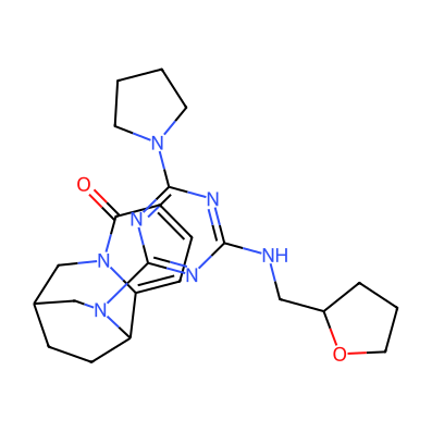 O=c1cccc2n1CC1CCC2N(c2nc(NCC3CCCO3)nc(N3CCCC3)n2)C1